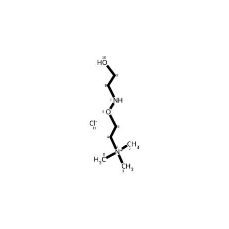 C[N+](C)(C)CCONCCO.[Cl-]